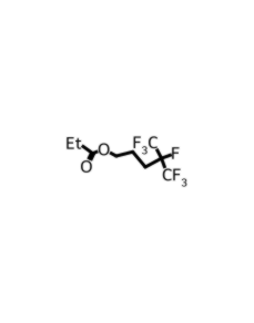 CCC(=O)OCCCC(F)(C(F)(F)F)C(F)(F)F